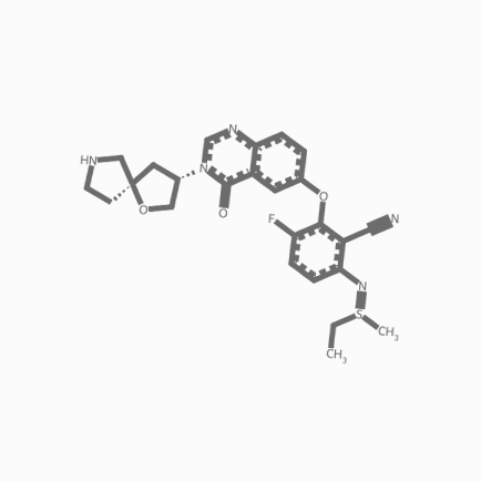 CC/S(C)=N\c1ccc(F)c(Oc2ccc3ncn([C@@H]4CO[C@]5(CCNC5)C4)c(=O)c3c2)c1C#N